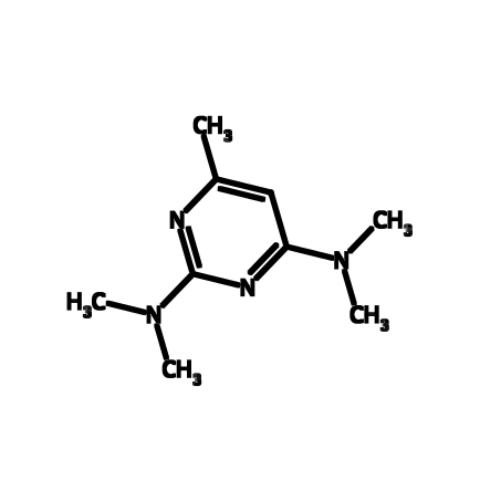 Cc1cc(N(C)C)nc(N(C)C)n1